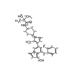 Cc1c(-c2cc(Sc3ncccc3F)c3c(C#N)cnn3c2)cnn1C1CCC(NC(=O)C(C)(C)O)CC1